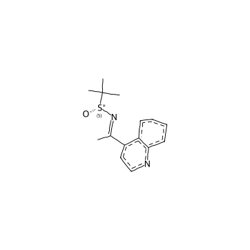 CC(=N[S@+]([O-])C(C)(C)C)c1ccnc2ccccc12